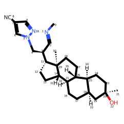 CN=C[C@H](Cn1cc(C#N)cn1)[C@H]1CC[C@H]2[C@@H]3CC[C@@H]4C[C@](C)(O)CC[C@@H]4[C@H]3CC[C@]12C